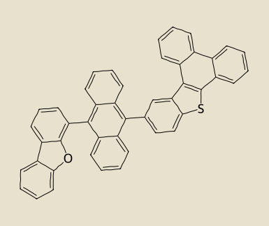 c1ccc2c(c1)oc1c(-c3c4ccccc4c(-c4ccc5sc6c7ccccc7c7ccccc7c6c5c4)c4ccccc34)cccc12